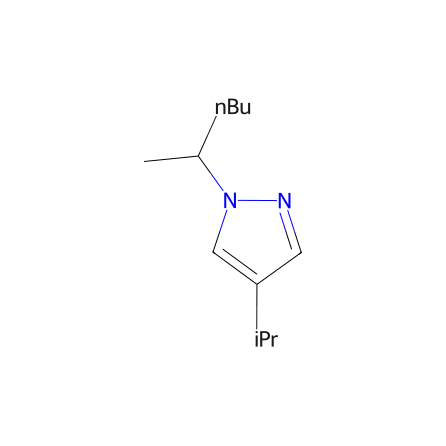 CCCCC(C)n1cc(C(C)C)cn1